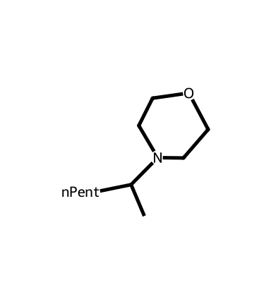 CCCCCC(C)N1CCOCC1